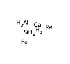 [AlH3].[CaH2].[Fe].[Re].[SiH4]